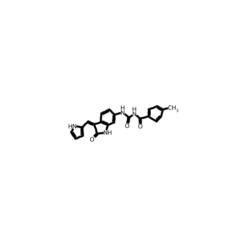 Cc1ccc(C(=O)NC(=O)Nc2ccc3c(c2)NC(=O)/C3=C\c2ccc[nH]2)cc1